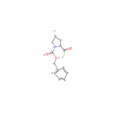 O=C(F)C1CC(F)CN1C(=O)OCc1ccccc1